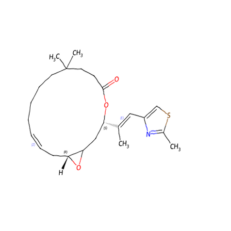 C/C(=C\c1csc(C)n1)[C@@H]1CC2O[C@@H]2C/C=C\CCCCC(C)(C)CCC(=O)O1